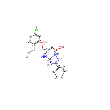 C=CCc1ccc(Cl)cc1OCc1cc(=O)n2nc(-c3ccccc3)nc2[nH]1